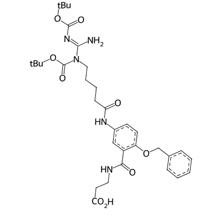 CC(C)(C)OC(=O)/N=C(\N)N(CCCCC(=O)Nc1ccc(OCc2ccccc2)c(C(=O)NCCC(=O)O)c1)C(=O)OC(C)(C)C